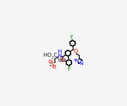 Cn1cncc1CCOC(c1ccc(F)cc1)c1ccc(C(=O)N[C@](CCS(C)(=O)=O)(C(=O)O)C(C)(C)C)c(-c2ccc(F)cc2)c1